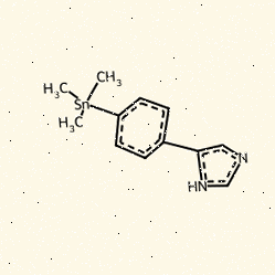 [CH3][Sn]([CH3])([CH3])[c]1ccc(-c2cnc[nH]2)cc1